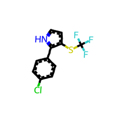 FC(F)(F)Sc1cc[nH]c1-c1ccc(Cl)cc1